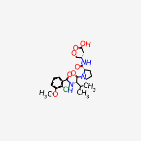 COc1cccc(C(=O)N[C@H](C(=O)N2CCC[C@H]2C(=O)N[C@H](C=O)CC(=O)O)C(C)C)c1Cl